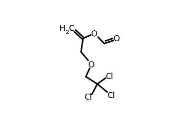 C=C(COCC(Cl)(Cl)Cl)OC=O